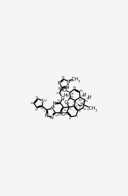 CN1CC[C@]23C4=C5CC=C(O)C4(c4cc6nnc(-c7cccs7)n6nc4OCc4ncn(C)n4)O[C@H]2[C@@H](O)C=C[C@H]3[C@H]1C5